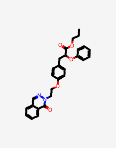 CCCOC(=O)C(Cc1ccc(OCCn2ncc3ccccc3c2=O)cc1)Oc1ccccc1